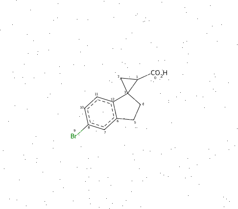 O=C(O)C1CC12CCc1cc(Br)ccc12